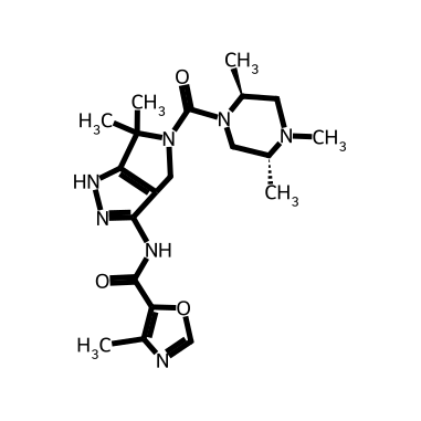 Cc1ncoc1C(=O)Nc1n[nH]c2c1CN(C(=O)N1C[C@@H](C)N(C)C[C@@H]1C)C2(C)C